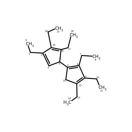 CCC1=[C]C(C2=C(CC)C(CC)=C(CC)C2)C(CC)=C1CC